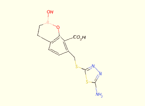 Nc1nnc(SCc2ccc3c(c2C(=O)O)OB(O)CC3)s1